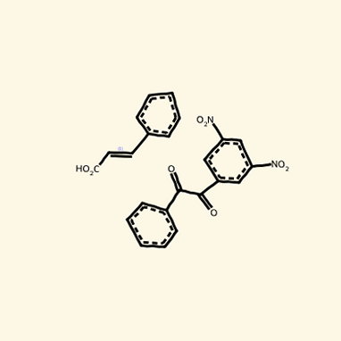 O=C(C(=O)c1cc([N+](=O)[O-])cc([N+](=O)[O-])c1)c1ccccc1.O=C(O)/C=C/c1ccccc1